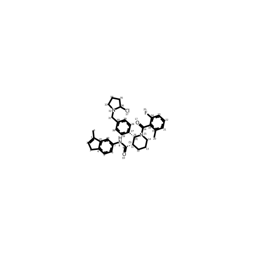 CC1=CCc2ccc(NC(=O)[C@H]3CCCN(C(=O)c4c(C)cccc4F)[C@H]3c3ccc(CN4CCCC4Cl)cc3)cc21